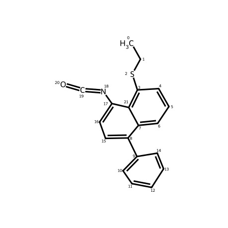 CCSc1cccc2c(-c3ccccc3)ccc(N=C=O)c12